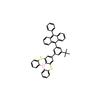 CC(C)(C)c1cc(-c2cc3c4c(c2)Sc2ccccc2B4c2ccccc2S3)cc(-c2c3ccccc3c(-c3ccccc3)c3ccccc23)c1